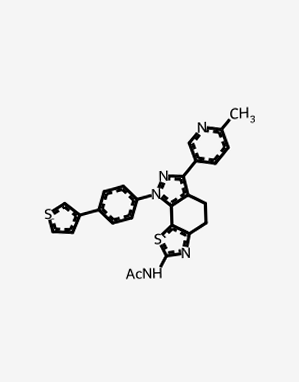 CC(=O)Nc1nc2c(s1)-c1c(c(-c3ccc(C)nc3)nn1-c1ccc(-c3ccsc3)cc1)CC2